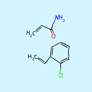 C=CC(N)=O.C=Cc1ccccc1Cl